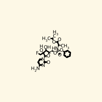 CC(C)OC(=O)[C@H](C)N[P@](=O)(OC[C@H]1O[C@@H](n2ccc(N)nc2=O)[C@@](O)(CF)C1O)Oc1ccccc1